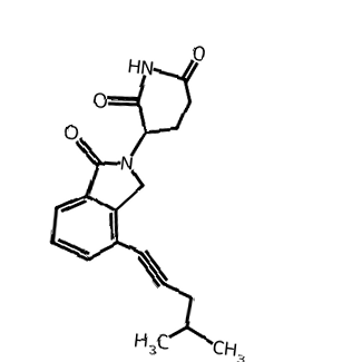 CC(C)CC#Cc1cccc2c1CN(C1CCC(=O)NC1=O)C2=O